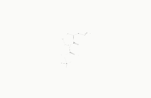 CC(C)(C)OC(=O)N1CCCC(CC=O)C1=O